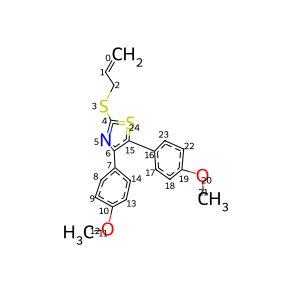 C=CCSc1nc(-c2ccc(OC)cc2)c(-c2ccc(OC)cc2)s1